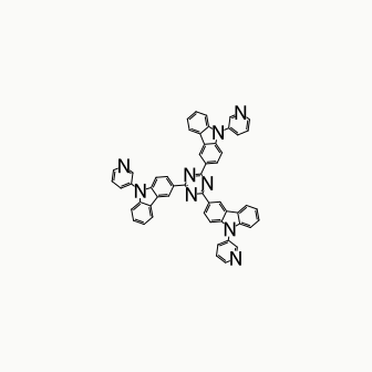 c1cncc(-n2c3ccccc3c3cc(-c4nc(-c5ccc6c(c5)c5ccccc5n6-c5cccnc5)nc(-c5ccc6c(c5)c5ccccc5n6-c5cccnc5)n4)ccc32)c1